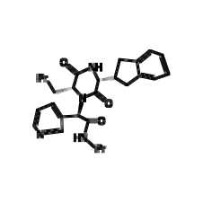 CC(C)C[C@@H]1C(=O)N[C@H](C2Cc3ccccc3C2)C(=O)N1[C@@H](C(=O)NC(C)C)c1cccnc1